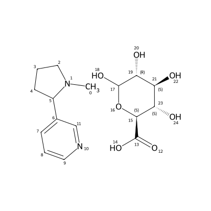 CN1CCCC1c1cccnc1.O=C(O)[C@H]1OC(O)[C@H](O)[C@@H](O)[C@@H]1O